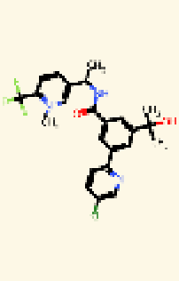 C[C@@H](NC(=O)c1cc(-c2ccc(Cl)cn2)cc(C(C)(C)O)c1)c1ccc(C(F)(F)F)[n+](C)c1